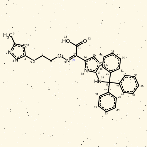 Cc1nnc(SCCO/N=C(\C(=O)O)c2csc(NC(c3ccccc3)(c3ccccc3)c3ccccc3)n2)s1